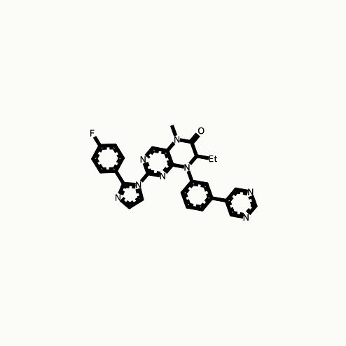 CCC1C(=O)N(C)c2cnc(-n3ccnc3-c3ccc(F)cc3)nc2N1c1cccc(-c2cncnc2)c1